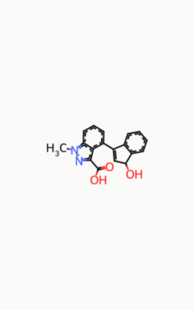 Cn1nc(C(=O)O)c2c(C3=CC(O)c4ccccc43)cccc21